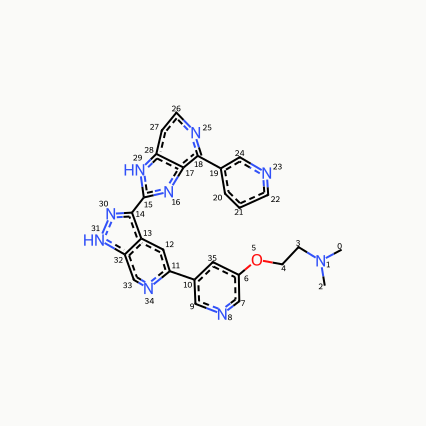 CN(C)CCOc1cncc(-c2cc3c(-c4nc5c(-c6cccnc6)nccc5[nH]4)n[nH]c3cn2)c1